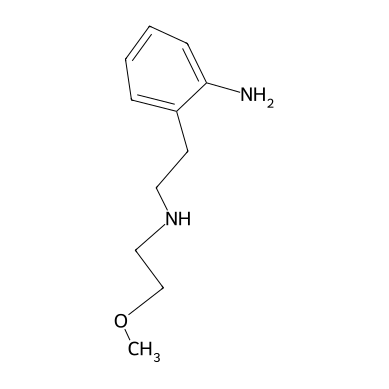 COCCNCCc1ccccc1N